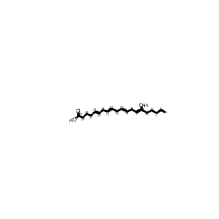 CCCCC/C(O)=C/C/C=C/C/C=C/C/C=C/CCCC(=O)O